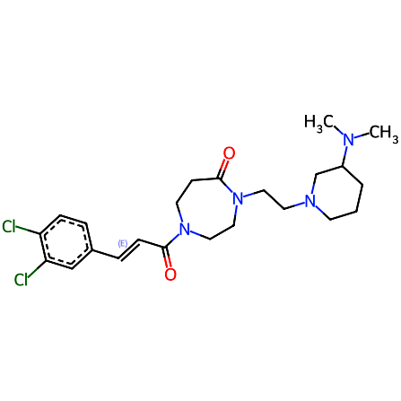 CN(C)C1CCCN(CCN2CCN(C(=O)/C=C/c3ccc(Cl)c(Cl)c3)CCC2=O)C1